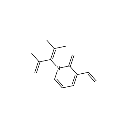 C=CC1=CC=CN(C(C(=C)C)=C(C)C)C1=C